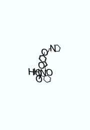 O=C(NC1(C(=O)O)CCCCC1)c1cc2cc(OCCN3CCCCC3)ccc2o1